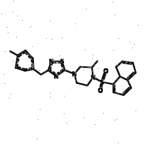 Cc1ccc(Cc2nsc(N3CCN(S(=O)(=O)C4=CC=CC5=CC=CCC54)C(C)C3)n2)cc1